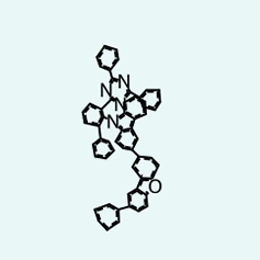 c1ccc(-c2ccc3oc4ccc(-c5ccc6c(c5)c5ccccc5n6-c5c(-c6ccccc6)cccc5-c5nc(-c6ccccc6)nc(-c6ccccc6)n5)cc4c3c2)cc1